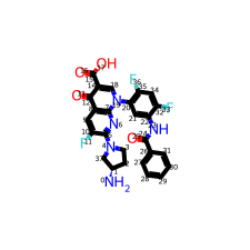 N[C@H]1CCN(c2nc3c(cc2F)c(=O)c(C(=O)O)cn3-c2cc(NC(=O)c3ccccc3)c(F)cc2F)C1